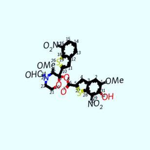 COc1cc2cc(C(=O)OC3(c4cc5cccc([N+](=O)[O-])c5s4)OCCN(C=O)C3OC)sc2c([N+](=O)[O-])c1O